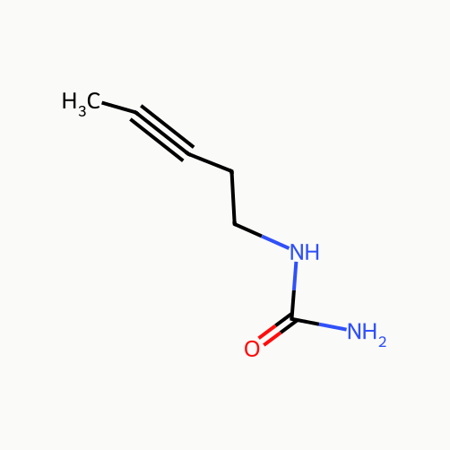 CC#CCCNC(N)=O